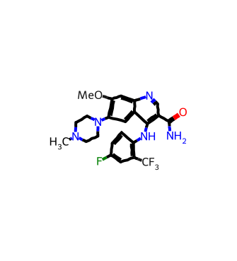 COc1cc2ncc(C(N)=O)c(Nc3ccc(F)cc3C(F)(F)F)c2cc1N1CCN(C)CC1